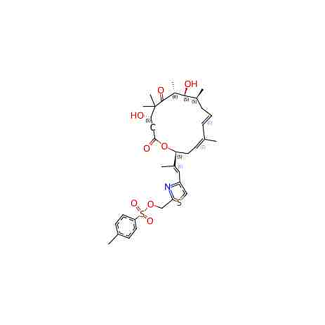 CC1=C/C[C@@H](/C(C)=C/c2csc(COS(=O)(=O)c3ccc(C)cc3)n2)OC(=O)C[C@H](O)C(C)(C)C(=O)[C@H](C)[C@@H](O)[C@@H](C)C\C=C\1